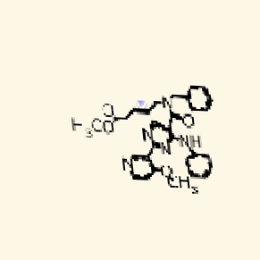 COC(=O)C/C=C/CN(Cc1ccccc1)C(=O)c1cnc(-c2cnccc2OC)nc1Nc1ccccc1